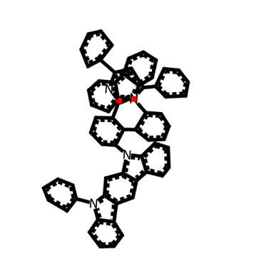 c1ccc(-c2cc(-c3ccccc3)nc(-c3cccc(-n4c5ccccc5c5cc6c7ccccc7n(-c7ccccc7)c6cc54)c3-c3ccccc3-n3c4ccccc4c4ccccc43)n2)cc1